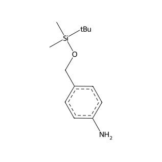 CC(C)(C)[Si](C)(C)OCc1ccc(N)cc1